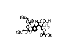 CCCCC(=O)OCC(C)C(c1ccc(OC(=O)OCC(C)(C)C)c(OC(=O)OCC(C)(C)C)c1)[C@H](N)C(=O)O